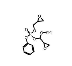 CCCOC(OP(=O)(OCC1CO1)Oc1ccccc1)C1CO1